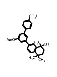 COc1cc(-c2ccc(C(=O)O)cc2)cc(-c2ccc3c(c2)C(C)(C)CCC3(C)C)c1